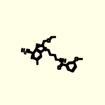 CCOCc1nc2c(N)nc(C)cc2n1CCCCNC(=O)c1cccc(OC)c1